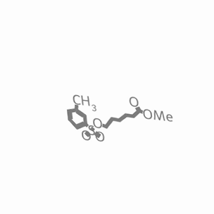 COC(=O)CCCCCOS(=O)(=O)c1cccc(C)c1